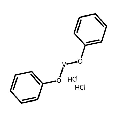 Cl.Cl.c1ccc([O][V][O]c2ccccc2)cc1